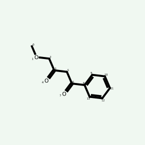 COCC(=O)CC(=O)c1ccccc1